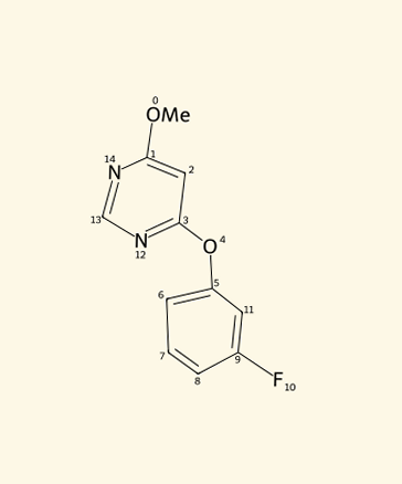 COc1cc(Oc2cccc(F)c2)ncn1